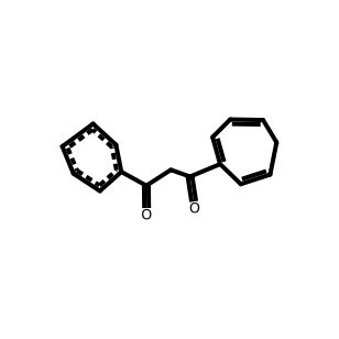 O=C(CC(=O)c1ccccc1)C1=CC=CCC=C1